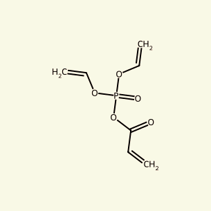 C=COP(=O)(OC=C)OC(=O)C=C